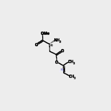 C/C=C(\C)OC(=O)C[C@@H](N)C(=O)OC